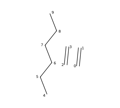 C=C.C=C.CCCCCC